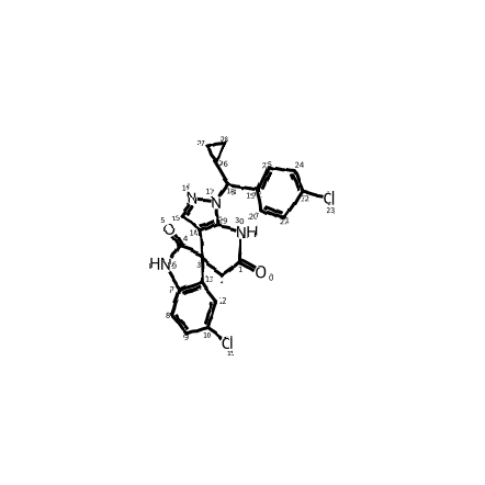 O=C1CC2(C(=O)Nc3ccc(Cl)cc32)c2cnn(C(c3ccc(Cl)cc3)C3CC3)c2N1